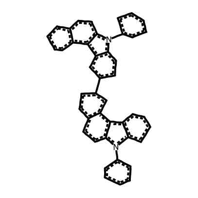 c1ccc(-n2c3ccccc3c3c4cc(-c5ccc6c(c5)c5c7ccccc7ccc5n6-c5ccccc5)ccc4ccc32)cc1